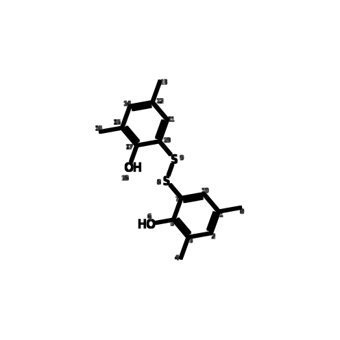 Cc1cc(C)c(O)c(SSc2cc(C)cc(C)c2O)c1